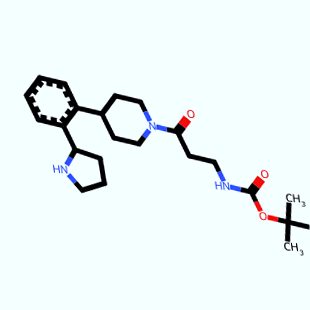 CC(C)(C)OC(=O)NCCC(=O)N1CCC(c2ccccc2C2CCCN2)CC1